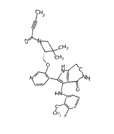 CC#CC(=O)N1CC(C)(C)[C@@H]1COc1cnccc1-c1[nH]c2c(c1Nc1cccc(F)c1OC)C(=O)NCC2